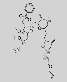 C=CCOC/C=C/[C@H]1CC(=C)C(CCC2C[C@@H](C)C(=C)C(C[C@@H]3OC(C[C@H](O)CN)[C@H](OC)C3CS(=O)(=O)c3ccccc3)O2)O1